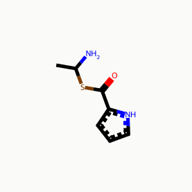 CC(N)SC(=O)c1ccc[nH]1